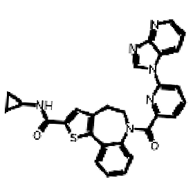 O=C(NC1CC1)c1cc2c(s1)-c1ccccc1N(C(=O)c1cccc(-n3cnc4ncccc43)n1)CC2